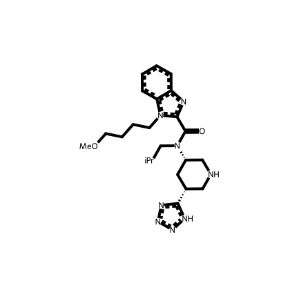 COCCCCn1c(C(=O)N(CC(C)C)[C@@H]2CNC[C@H](c3nnn[nH]3)C2)nc2ccccc21